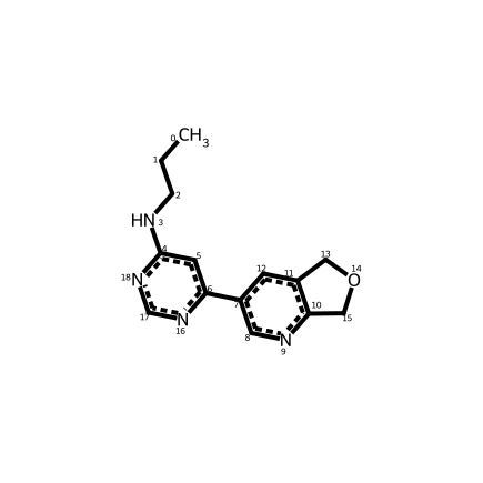 CCCNc1cc(-c2cnc3c(c2)COC3)ncn1